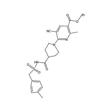 Cc1ccc(CS(=O)(=O)NC(=O)C2CCN(c3nc(C)c(C(=O)OC(C)C)cc3C#N)CC2)cc1